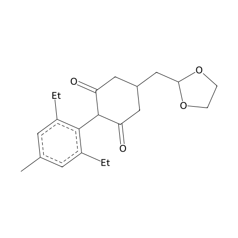 CCc1cc(C)cc(CC)c1C1C(=O)CC(CC2OCCO2)CC1=O